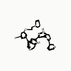 Fc1cc(OCCN2CCCC2)cc(-c2cncc3[nH]c(-c4n[nH]c5ccc(-c6cccnc6)nc45)cc23)c1